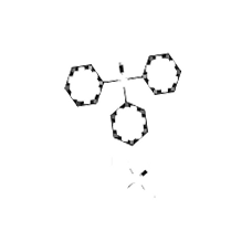 O=P(O)(O)O.O=P(c1ccccc1)(c1ccccc1)c1ccccc1